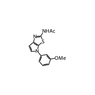 COc1cccc(-n2ccc3nc(NC(C)=O)sc32)c1